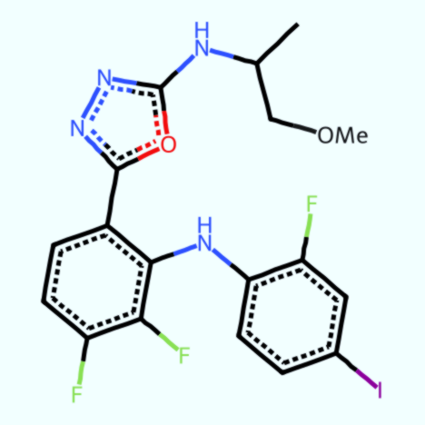 COCC(C)Nc1nnc(-c2ccc(F)c(F)c2Nc2ccc(I)cc2F)o1